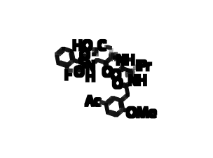 COc1ccc(C(C)=O)cc1CC(=O)N[C@H](C(=O)N[C@@H](CC(=O)O)C(=O)CNS(=O)(=O)c1ccccc1F)C(C)C